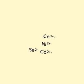 [Ce+3].[Co+2].[Ni+2].[Se-2]